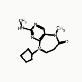 CNc1ncc2c(n1)N(C1CCCC1)CCC(=O)N2C